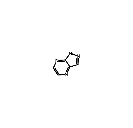 C1=N[N]c2nccnc21